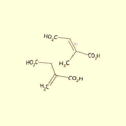 C/C(=C\C(=O)O)C(=O)O.C=C(CC(=O)O)C(=O)O